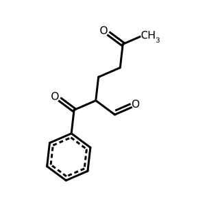 CC(=O)CCC(C=O)C(=O)c1ccccc1